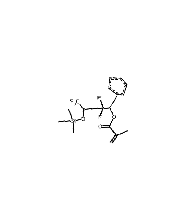 C=C(C)C(=O)OC(c1ccccc1)C(F)(F)C(O[Si](C)(C)C)C(F)(F)F